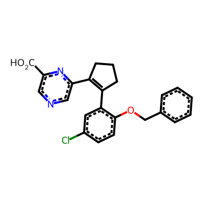 O=C(O)c1cncc(C2=C(c3cc(Cl)ccc3OCc3ccccc3)CCC2)n1